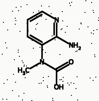 CN(C(=O)O)c1cccnc1N